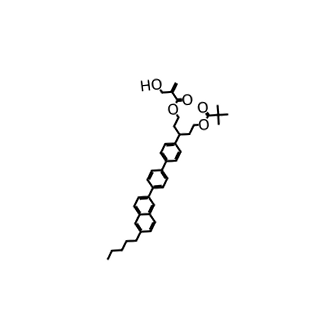 C=C(CO)C(=O)OCCC(CCOC(=O)C(C)(C)C)c1ccc(-c2ccc(-c3ccc4cc(CCCCC)ccc4c3)cc2)cc1